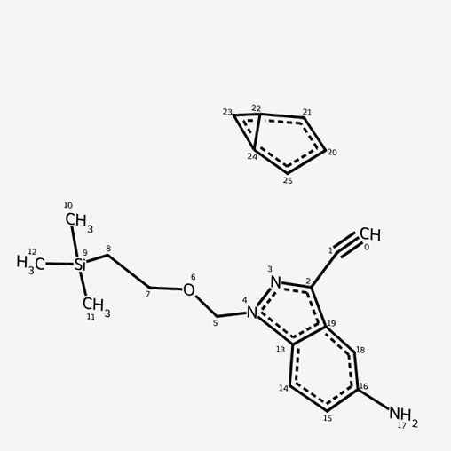 C#Cc1nn(COCC[Si](C)(C)C)c2ccc(N)cc12.c1cc2cc-2c1